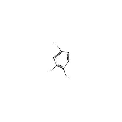 CCc1cc(N)ccc1C#N